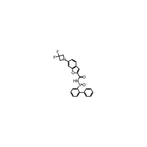 O=C(N[S+]([O-])c1ccccc1-c1ccccc1)c1cc2ccc(N3CC(F)(F)C3)cc2o1